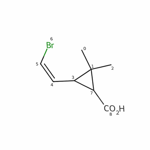 CC1(C)C(/C=C\Br)C1C(=O)O